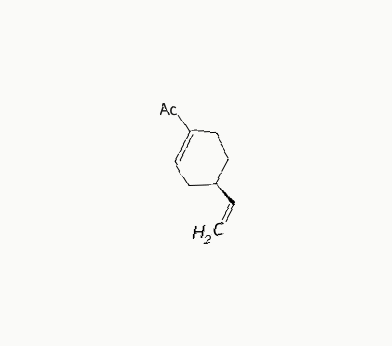 C=C[C@H]1CC=C(C(C)=O)CC1